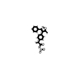 Cc1onc(-c2ccccc2)c1-c1ccc(C(C)C(=O)N=S(=O)=O)cc1